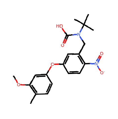 COc1cc(Oc2ccc([N+](=O)[O-])c(CN(C(=O)O)C(C)(C)C)c2)ccc1C